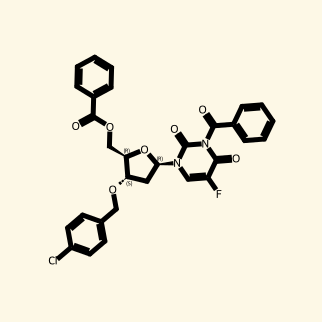 O=C(OC[C@H]1O[C@@H](n2cc(F)c(=O)n(C(=O)c3ccccc3)c2=O)C[C@@H]1OCc1ccc(Cl)cc1)c1ccccc1